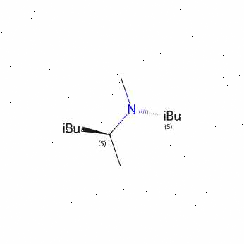 CCC(C)[C@H](C)N(C)[C@@H](C)CC